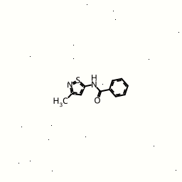 Cc1cc(NC(=O)c2ccccc2)sn1